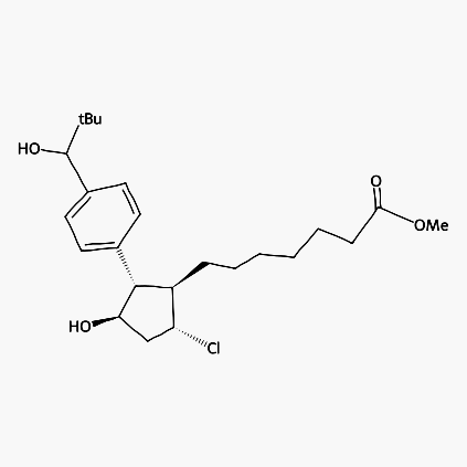 COC(=O)CCCCCC[C@@H]1[C@@H](c2ccc(C(O)C(C)(C)C)cc2)[C@H](O)C[C@H]1Cl